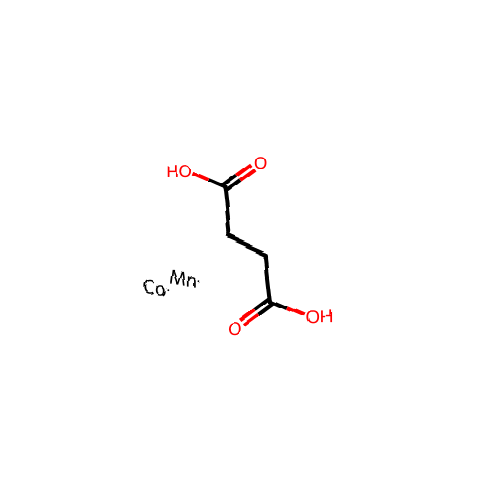 O=C(O)CCC(=O)O.[Co].[Mn]